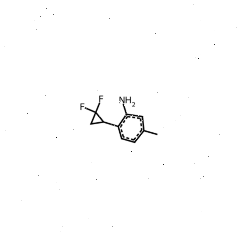 Cc1ccc(C2CC2(F)F)c(N)c1